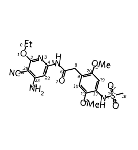 CCOc1nc(NC(=O)Cc2cc(OC)c(NS(C)(=O)=O)cc2OC)cc(N)c1C#N